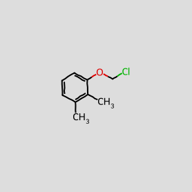 Cc1cccc(OCCl)c1C